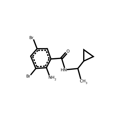 CC(NC(=O)c1cc(Br)cc(Br)c1N)C1CC1